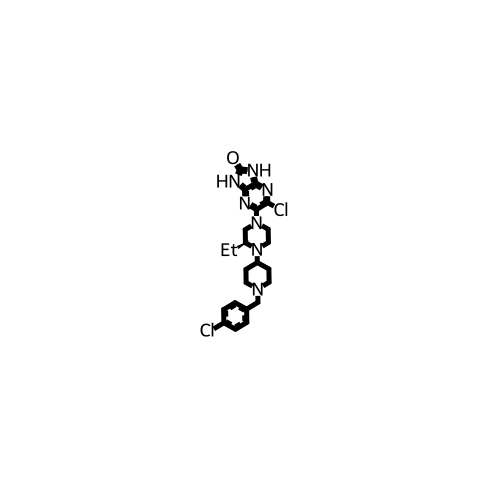 CC[C@H]1CN(c2nc3[nH]c(=O)[nH]c3nc2Cl)CCN1C1CCN(Cc2ccc(Cl)cc2)CC1